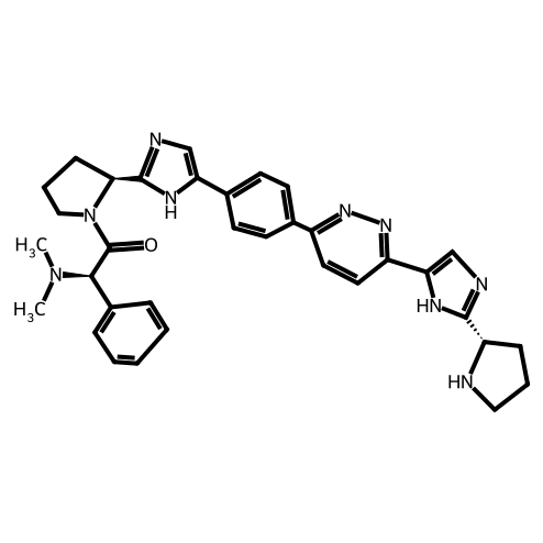 CN(C)[C@@H](C(=O)N1CCC[C@H]1c1ncc(-c2ccc(-c3ccc(-c4cnc([C@@H]5CCCN5)[nH]4)nn3)cc2)[nH]1)c1ccccc1